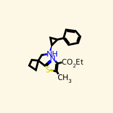 CCOC(=O)c1nc(C2(CN[C@H]3CC3c3ccccc3)CCC2)sc1C